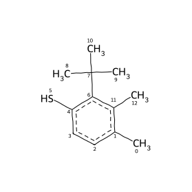 Cc1ccc(S)c(C(C)(C)C)c1C